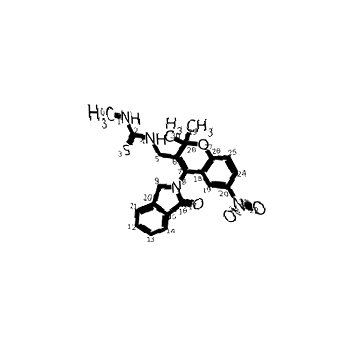 CNC(=S)NCC1=C(N2Cc3ccccc3C2=O)c2cc([N+](=O)[O-])ccc2OC1(C)C